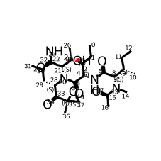 CC[C@H](C)[C@H](NC(=O)[C@H]([C@@H](C)CC)N(C)C(C)=O)C(=O)N([C@H](C(N)=O)[C@@H](C)O)[C@@H](CC(C)C)C(=O)[C@@]1(C)CO1